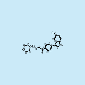 Clc1ccc2ncc(-c3ccc(NCCOC4CCOCC4)cc3)n2c1